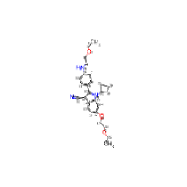 CCOCCNc1ccc(-c2c(C#N)c3ccc(OCCOCC)cc3n2C2CCC2)cc1